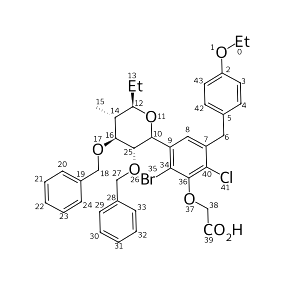 CCOc1ccc(Cc2cc(C3O[C@H](CC)[C@@H](C)[C@H](OCc4ccccc4)[C@H]3OCc3ccccc3)c(Br)c(OCC(=O)O)c2Cl)cc1